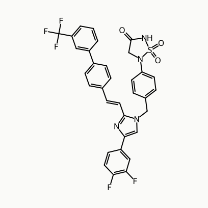 O=C1CN(c2ccc(Cn3cc(-c4ccc(F)c(F)c4)nc3C=Cc3ccc(-c4cccc(C(F)(F)F)c4)cc3)cc2)S(=O)(=O)N1